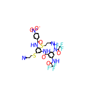 N#CCCSc1cc(NC(=O)c2ccc([N+](=O)[O-])cc2)c(SCCC#N)c(NC(=O)c2cc(NC(=O)C(F)(F)F)cc(NC(=O)C(F)(F)F)c2)c1